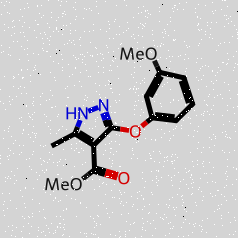 COC(=O)c1c(Oc2cccc(OC)c2)n[nH]c1C